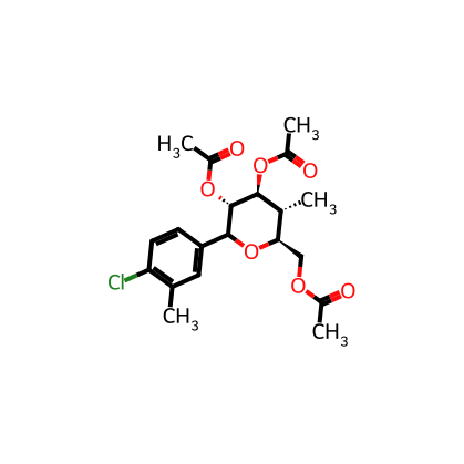 CC(=O)OC[C@H]1OC(c2ccc(Cl)c(C)c2)[C@H](OC(C)=O)[C@@H](OC(C)=O)[C@@H]1C